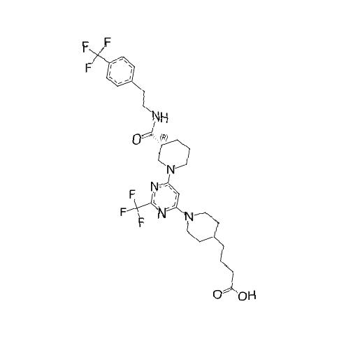 O=C(O)CCCC1CCN(c2cc(N3CCC[C@@H](C(=O)NCCc4ccc(C(F)(F)F)cc4)C3)nc(C(F)(F)F)n2)CC1